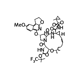 COc1ccc2c(O[C@@H]3C[C@H]4C(=O)N[C@]5(C(=O)NS(=O)(=O)C6(C)CC6)C[C@H]5/C=C\CC[C@@H](C)O[C@@H](C)[C@H](NC(=O)OC(C)(C)C(F)(F)F)C(=O)N4C3)nc3c(c2c1)CCCO3